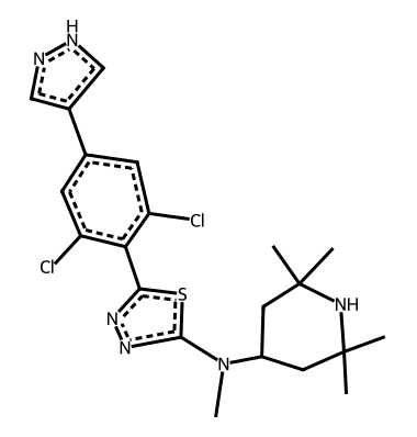 CN(c1nnc(-c2c(Cl)cc(-c3cn[nH]c3)cc2Cl)s1)C1CC(C)(C)NC(C)(C)C1